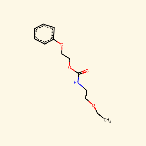 CCOCCNC(=O)OCCOc1[c]cccc1